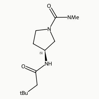 CNC(=O)N1CC[C@H](NC(=O)CC(C)(C)C)C1